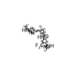 Cc1c[nH]c(-c2ccc(NC(=O)c3ccc(C)c(C#Cc4ccc(NC5CC5)nn4)c3)cc2C(F)(F)F)n1